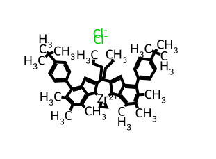 CCCCC1=Cc2c(-c3ccc(C(C)(C)C)cc3)c(C)c(C)c(C)c2[CH]1[Zr+2]1([CH]2C(CCCC)=Cc3c(-c4ccc(C(C)(C)C)cc4)c(C)c(C)c(C)c32)[CH2][CH2]1.[Cl-].[Cl-]